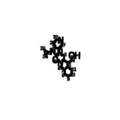 O=c1n(Cc2ncc3ccccc3c2CO)c2cnccc2n1C1CC1